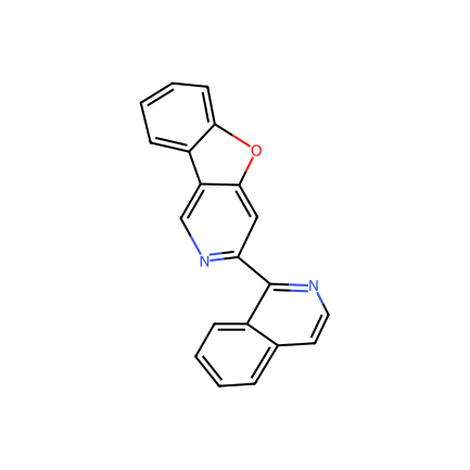 c1ccc2c(-c3cc4oc5ccccc5c4cn3)nccc2c1